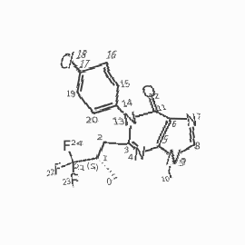 C[C@@H](Cc1nc2c(ncn2C)c(=O)n1-c1ccc(Cl)cc1)C(F)(F)F